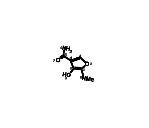 CNc1occ(C(N)=O)c1O